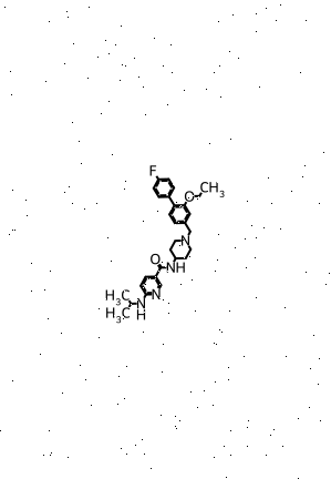 CCOc1cc(CN2CCC(NC(=O)c3ccc(NC(C)C)nc3)CC2)ccc1-c1ccc(F)cc1